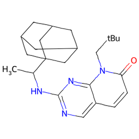 CC(Nc1ncc2ccc(=O)n(CC(C)(C)C)c2n1)C12CC3CC(CC(C3)C1)C2